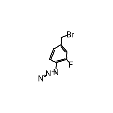 [N-]=[N+]=Nc1ccc(CBr)cc1F